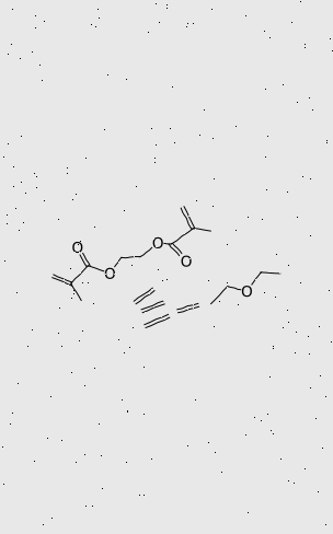 C=C.C=C.C=C.C=C.C=C(C)C(=O)OCCOC(=O)C(=C)C.CCOCC